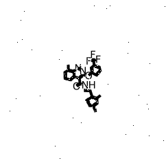 Cc1ccc(CCNC(=O)c2c(Oc3cccc(C(F)(F)F)c3)nnc3c(C)cccc23)c(C)c1